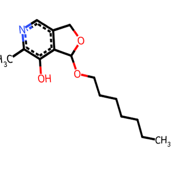 CCCCCCCOC1OCc2cnc(C)c(O)c21